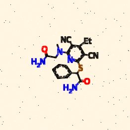 CCc1c(C#N)c(SC(C(N)=O)c2ccccc2)nc(N(C)CC(N)=O)c1C#N